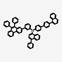 c1ccc(-c2ccc(N(c3ccc(-c4ccc(-c5cccc6ccccc56)cc4)cc3)c3cccc(-c4ccc5c(c4)c(-c4ccccc4)c(-c4ccccc4)c4ccccc45)c3)c3ccccc23)cc1